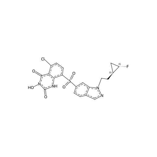 O=c1[nH]c2c(S(=O)(=O)c3ccc4cnn(CC[C@H]5C[C@@H]5F)c4c3)ccc(Cl)c2c(=O)n1O